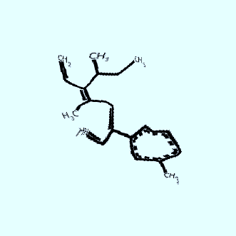 C=C/C(=C(C)/C=C(\C=N)c1cccc(C)c1)C(C)CC